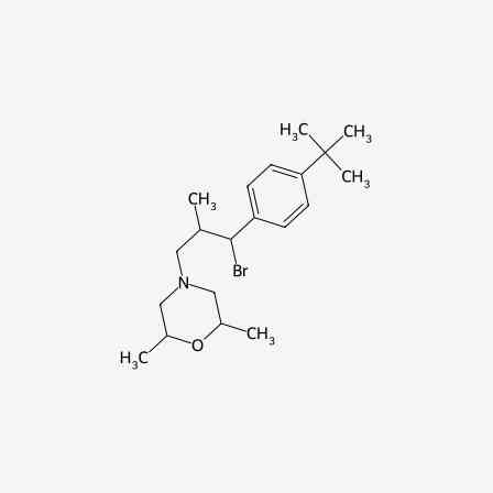 CC1CN(CC(C)C(Br)c2ccc(C(C)(C)C)cc2)CC(C)O1